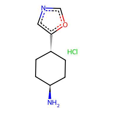 Cl.N[C@H]1CC[C@H](c2cnco2)CC1